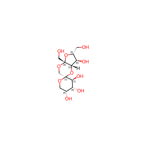 OC[C@H]1O[C@@]2(CO)OC[C@]3(OC[C@@H](O)[C@@H](O)[C@@H]3O)O[C@H]2[C@@H]1O